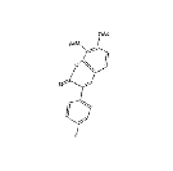 CC(=O)Oc1ccc2cc(-c3ccc(F)cc3)c(=O)oc2c1OC(C)=O